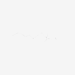 B.CCCCCC[N+](C)(C)C